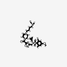 COc1cc(C)c(S(=O)(=O)N(Cc2noc(C(=O)N3CCN(CCCCN(C)C)CC3)n2)C2CC2)c(C)c1